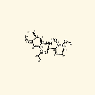 C/C=C1/C=C(NC(=O)c2cccc(OC)[n+]2O)C(OCC)=C/C1=N/C